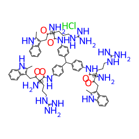 Cc1[nH]c2ccccc2c1CC(=O)[C@@](N)(CCCNC(=N)N)C(=O)Nc1ccc(C(c2ccc(NC(=O)[C@](N)(CCCNC(=N)N)C(=O)Cc3c(C)[nH]c4ccccc34)cc2)c2ccc(NC(=O)[C@](N)(CCCNC(=N)N)C(=O)Cc3c(C)[nH]c4ccccc34)cc2)cc1.Cl